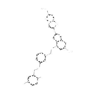 COc1cc(OCc2cccc(OCc3cc(C(F)(F)F)ccc3F)c2)c2cc(-c3cn4nc(OC)sc4n3)oc2c1